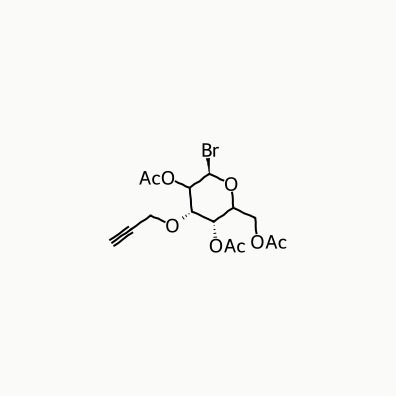 C#CCO[C@@H]1C(OC(C)=O)[C@@H](Br)OC(COC(C)=O)[C@@H]1OC(C)=O